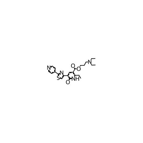 CCc1[nH]c(=O)c(-c2csc(-c3ccncc3)n2)cc1C(=O)OCCCN(CC)CC